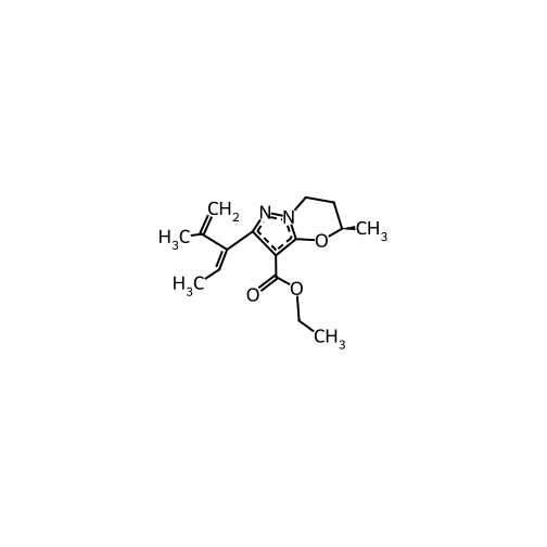 C=C(C)/C(=C\C)c1nn2c(c1C(=O)OCC)O[C@H](C)CC2